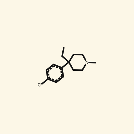 CCC1(c2ccc(Cl)cc2)CCN(C)CC1